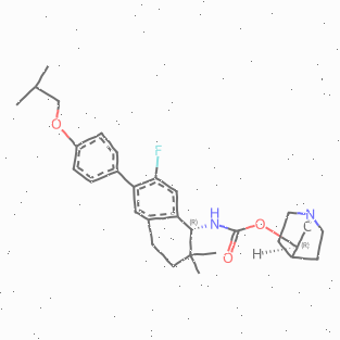 CC(C)COc1ccc(-c2cc3c(cc2F)[C@H](NC(=O)O[C@H]2CN4CCC2CC4)C(C)(C)CC3)cc1